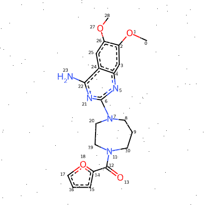 COc1cc2nc(N3CCCN(C(=O)c4ccco4)CC3)nc(N)c2cc1OC